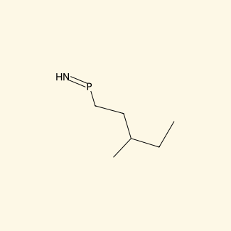 CCC(C)CCP=N